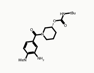 CNc1ccc(C(=O)N2CCC[C@@H](OC(=O)NC(C)(C)C)C2)cc1N